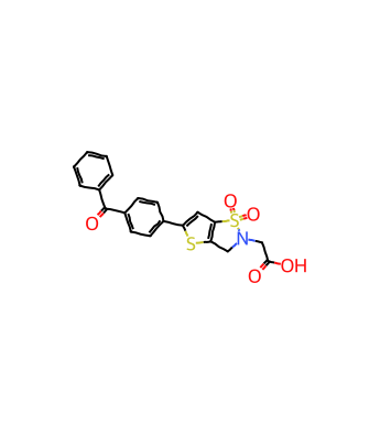 O=C(O)CN1Cc2sc(-c3ccc(C(=O)c4ccccc4)cc3)cc2S1(=O)=O